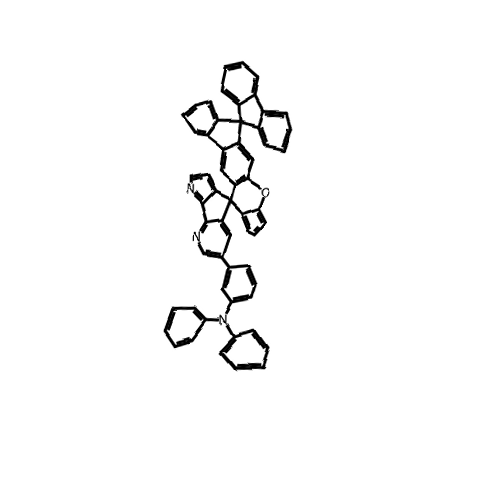 c1ccc(N(c2ccccc2)c2cccc(-c3cnc4c(c3)C3(c5ccccc5Oc5cc6c(cc53)-c3ccccc3C63c5ccccc5-c5ccccc53)c3cccnc3-4)c2)cc1